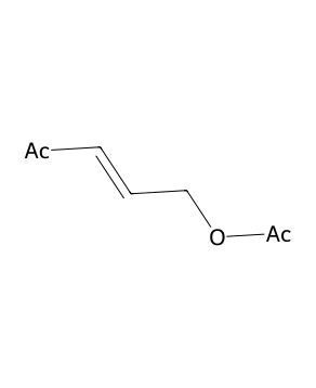 CC(=O)/C=C/COC(C)=O